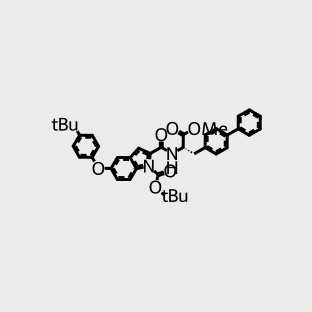 COC(=O)[C@H](Cc1ccc(-c2ccccc2)cc1)NC(=O)c1cc2cc(Oc3ccc(C(C)(C)C)cc3)ccc2n1C(=O)OC(C)(C)C